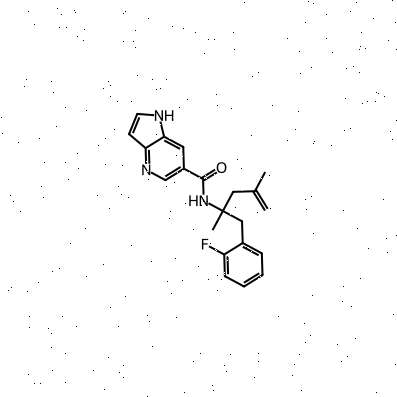 C=C(C)CC(C)(Cc1ccccc1F)NC(=O)c1cnc2cc[nH]c2c1